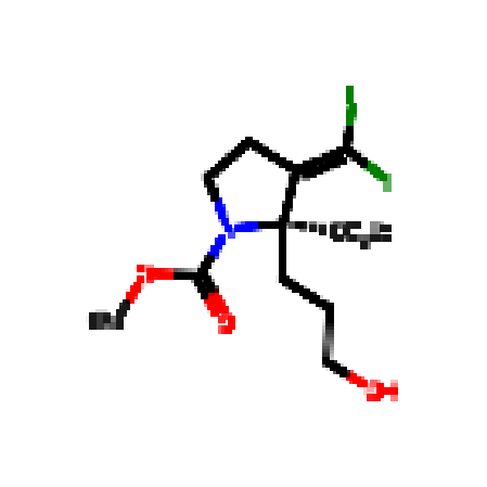 CCOC(=O)[C@@]1(CCCO)C(=C(F)F)CCN1C(=O)OC(C)(C)C